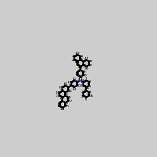 c1ccc(-c2cccc(N(c3ccc(-c4ccc5ccc6c7ccccc7ccc6c5c4)cc3)c3ccc(-c4cc5ccccc5c5ccccc45)cc3)c2)cc1